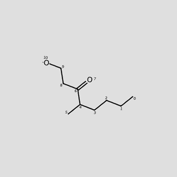 CCCCC(C)C(=O)CC[O]